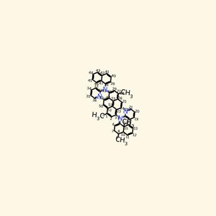 Cc1cc(N(C2=CCC(C)C3C=CC=CC23C)c2ccccn2)c2ccc3c(C)cc(N(c4ccccn4)c4cccc5ccccc45)c4ccc1c2c34